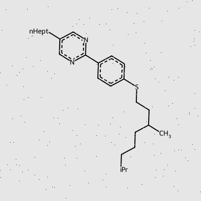 CCCCCCCc1cnc(-c2ccc(SCCC(C)CCCC(C)C)cc2)nc1